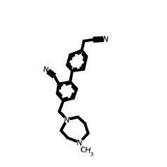 CN1CCCN(Cc2ccc(-c3ccc(CC#N)cc3)c(C#N)c2)CC1